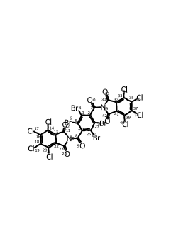 O=C(c1c(Br)c(Br)c(C(=O)N2C(=O)c3c(Cl)c(Cl)c(Cl)c(Cl)c3C2=O)c(Br)c1Br)N1C(=O)c2c(Cl)c(Cl)c(Cl)c(Cl)c2C1=O